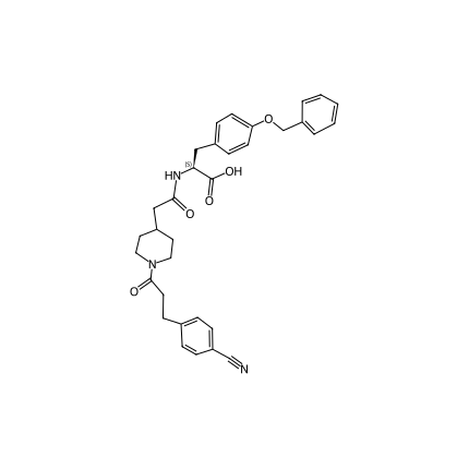 N#Cc1ccc(CCC(=O)N2CCC(CC(=O)N[C@@H](Cc3ccc(OCc4ccccc4)cc3)C(=O)O)CC2)cc1